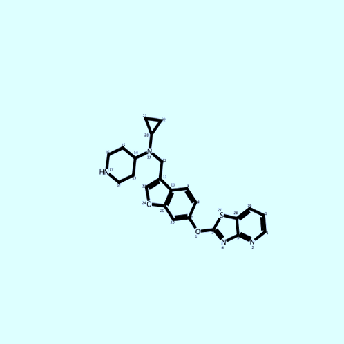 c1cnc2nc(Oc3ccc4c(CN(C5CCNCC5)C5CC5)coc4c3)sc2c1